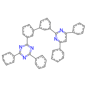 c1ccc(-c2cc(-c3ccccc3)nc(-c3cccc(-c4cccc(-c5nc(-c6ccccc6)nc(-c6ccccc6)n5)c4)c3)n2)cc1